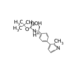 Cc1ncccc1-c1ccc([C@H](CO)NC(=O)OC(C)(C)C)cc1